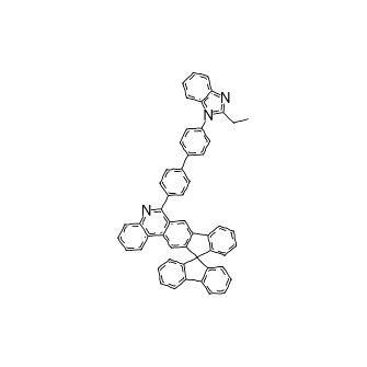 CCc1nc2ccccc2n1-c1ccc(-c2ccc(-c3nc4ccccc4c4cc5c(cc34)-c3ccccc3C53c4ccccc4-c4ccccc43)cc2)cc1